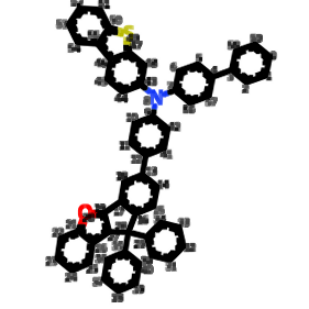 c1ccc(-c2ccc(N(c3ccc(-c4ccc5c(c4)-c4oc6ccccc6c4C5(c4ccccc4)c4ccccc4)cc3)c3ccc4c(c3)sc3ccccc34)cc2)cc1